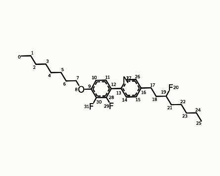 CCCCCCCCOc1ccc(-c2ccc(CCC(F)CCCCC)cn2)c(F)c1F